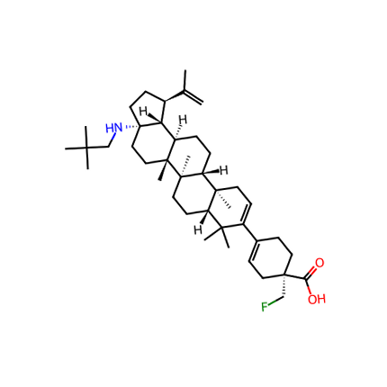 C=C(C)[C@@H]1CC[C@]2(NCC(C)(C)C)CC[C@]3(C)[C@H](CC[C@@H]4[C@@]5(C)CC=C(C6=CC[C@](CF)(C(=O)O)CC6)C(C)(C)[C@@H]5CC[C@]43C)[C@@H]12